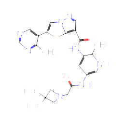 Cc1ncncc1-c1cn2ncc(C(=O)NC3=CC(NC(=O)CN4CC(C)(C)C4)=CNC3C)c2s1